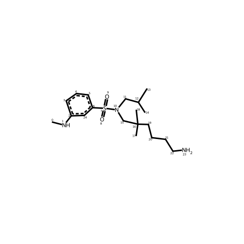 CNc1cccc(S(=O)(=O)N(CC(C)C)CC(C)(C)CCCCN)c1